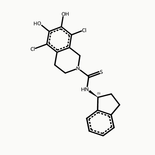 Oc1c(O)c(Cl)c2c(c1Cl)CCN(C(=S)N[C@H]1CCc3ccccc31)C2